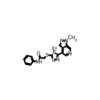 CCn1c(SCC(=O)Nc2ccccc2)nnc1-c1cncc2c1cnn2C